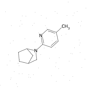 Cc1ccc(N2CC3CCC2C3)nc1